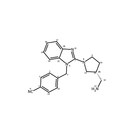 N#Cc1ccc(Cn2c(N3CC[C@H](CN)C3)nc3ccccc32)cc1